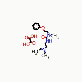 CCN(CC)CCNC(=O)N(C)CCOc1ccccc1.O=C(O)C(=O)O